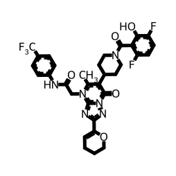 Cc1c(C2CCN(C(=O)c3c(F)ccc(F)c3O)CC2)c(=O)n2nc(C3=CCCCO3)nc2n1CC(=O)Nc1ccc(C(F)(F)F)cc1